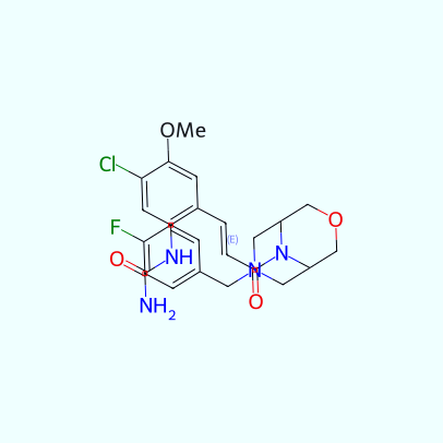 COc1cc(/C=C/C(=O)N2C3COCC2CN(Cc2ccc(F)cc2)C3)c(NC(N)=O)cc1Cl